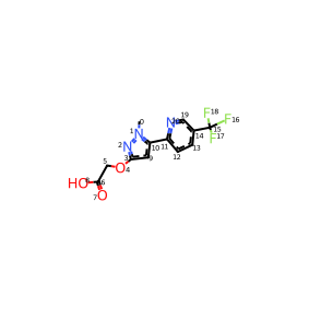 Cn1nc(OCC(=O)O)cc1-c1ccc(C(F)(F)F)cn1